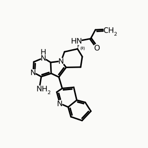 C=CC(=O)N[C@@H]1CCC2=C(c3cnc4ccccc4c3)C3=C(N)N=CNC3N2C1